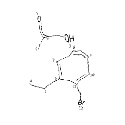 CC(=O)O.CCc1ccccc1Br